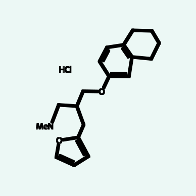 CNCC(COc1ccc2c(c1)CCCC2)Cc1ccco1.Cl